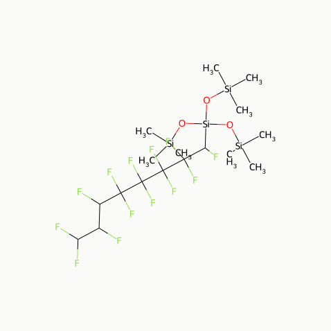 C[Si](C)(C)O[Si](O[Si](C)(C)C)(O[Si](C)(C)C)C(F)C(F)(F)C(F)(F)C(F)(F)C(F)(F)C(F)C(F)C(F)F